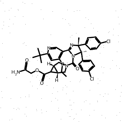 CCOc1cc(C(C)(C)C)ncc1C1=N[C@](C)(c2ccc(Cl)cc2)[C@@](C)(c2ccc(Cl)cc2)N1C(=O)N1C[C@@H]2C(C(=O)OCC(N)=O)[C@@H]2C1